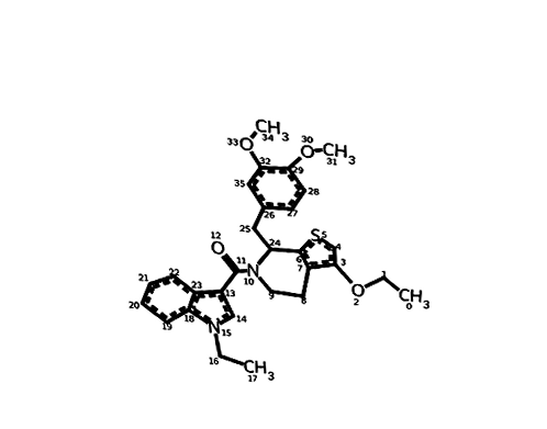 CCOc1csc2c1CCN(C(=O)c1cn(CC)c3ccccc13)C2Cc1ccc(OC)c(OC)c1